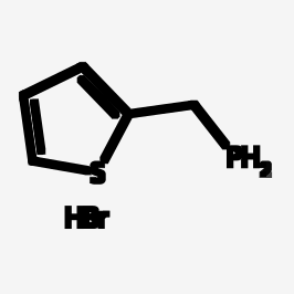 Br.PCc1cccs1